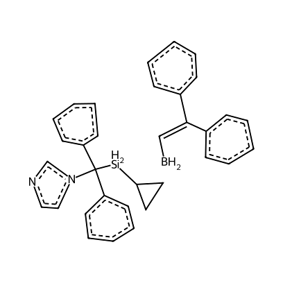 BC=C(c1ccccc1)c1ccccc1.c1ccc(C([SiH2]C2CC2)(c2ccccc2)n2ccnc2)cc1